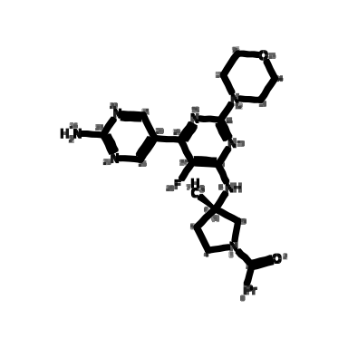 CC(C)C(=O)N1CC[C@](C)(Nc2nc(N3CCOCC3)nc(-c3cnc(N)nc3)c2F)C1